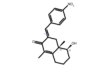 CC1=C2CCC[C@H](O)[C@@]2(C)C/C(=C\c2ccc([N+](=O)[O-])cc2)C1=O